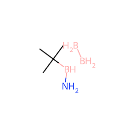 BB.CC(C)(C)BN